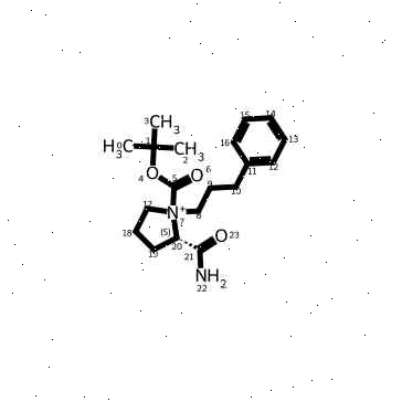 CC(C)(C)OC(=O)[N+]1(CCCc2ccccc2)CCC[C@H]1C(N)=O